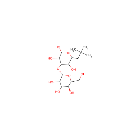 CC(C)(C)CC(O)C(O)C(O[C@@H]1OC(CO)[C@@H](O)C(O)C1O)C(O)CO